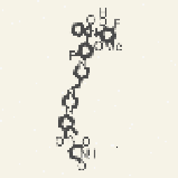 COc1cc(N2CCC(CCN3CCN(c4ccc5c(c4)CN([C@H]4CCC(=O)NC4=O)C5=O)CC3)CC2)c(F)cc1[C@@H]1N(c2cccc(F)c2O)C(=O)C12CCCC2